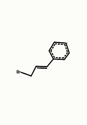 BrCC=Cc1cc[c]cc1